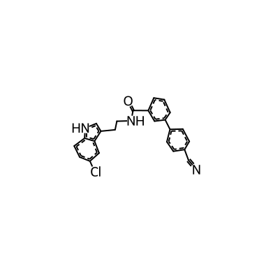 N#Cc1ccc(-c2cccc(C(=O)NCCc3c[nH]c4ccc(Cl)cc34)c2)cc1